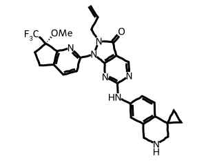 C=CCn1c(=O)c2cnc(Nc3ccc4c(c3)CNCC43CC3)nc2n1-c1ccc2c(n1)[C@](OC)(C(F)(F)F)CC2